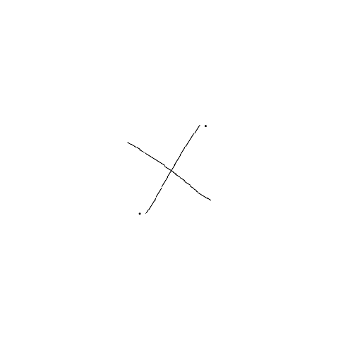 [CH2]C([CH2])(C)C